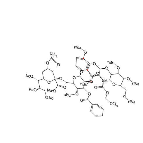 CCCCOCC1O[C@H](F)C(O[C@@H]2OC(COCCCC)[C@@H](O[C@@H]3OC(CO[C@]4(C(=O)OC)C[C@@H](OC(N)=O)CC([C@@H](OC(C)=O)[C@@H](COC(C)=O)OC(C)=O)O4)[C@H](OCCCC)C(OC(=O)c4ccccc4)[C@@H]3OC(=O)c3ccccc3)C(OCCCC)[C@@H]2NC(=O)OCC(Cl)(Cl)Cl)C(OCCCC)[C@@H]1OCCCC